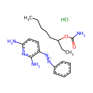 CCCCCC(CC)OC(N)=O.Cl.Nc1ccc(/N=N/c2ccccc2)c(N)n1